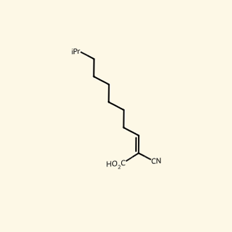 CC(C)CCCCCCC=C(C#N)C(=O)O